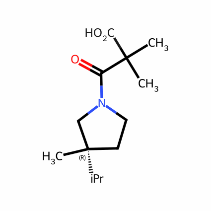 CC(C)[C@@]1(C)CCN(C(=O)C(C)(C)C(=O)O)C1